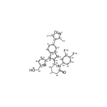 Cc1noc(C)c1-c1ccc2c(c1)nc([C@@H]1CCCC(=O)N1c1ccc(F)c(F)c1)n2-c1nc(CO)cs1